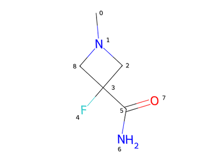 CN1CC(F)(C(N)=O)C1